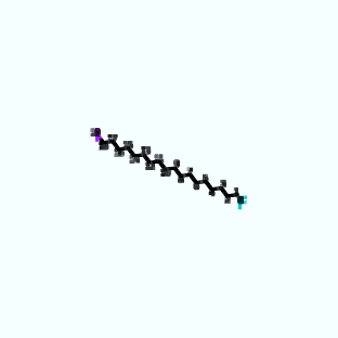 FCCCCCCCCCCCCCCCCCCI